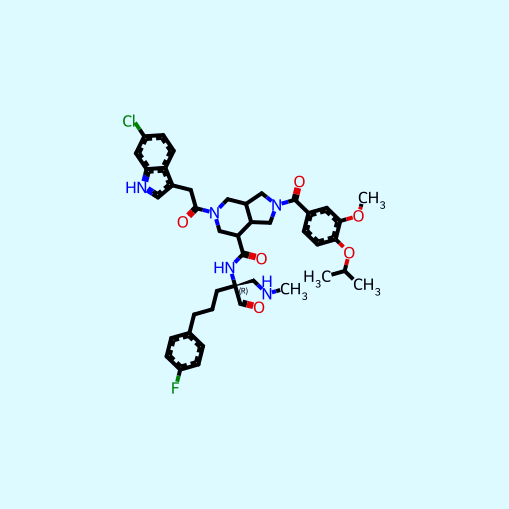 CNC[C@@](C=O)(CCCc1ccc(F)cc1)NC(=O)C1CN(C(=O)Cc2c[nH]c3cc(Cl)ccc23)CC2CN(C(=O)c3ccc(OC(C)C)c(OC)c3)CC21